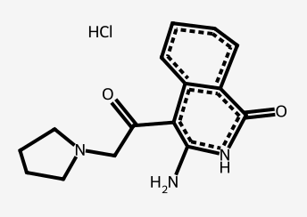 Cl.Nc1[nH]c(=O)c2ccccc2c1C(=O)CN1CCCC1